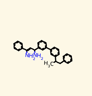 CC(Cc1ccccc1)c1cccc(-c2cccc(C(N)/C=C(\N)c3ccccc3)c2)c1